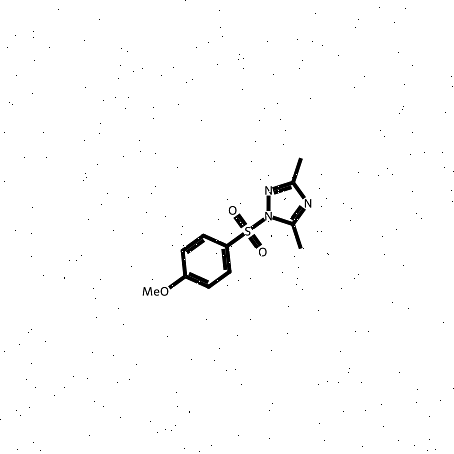 COc1ccc(S(=O)(=O)n2nc(C)nc2C)cc1